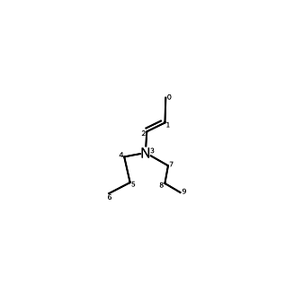 CC=CN(CCC)CCC